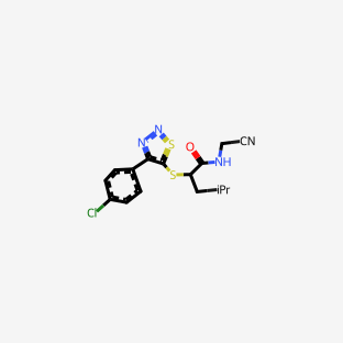 CC(C)CC(Sc1snnc1-c1ccc(Cl)cc1)C(=O)NCC#N